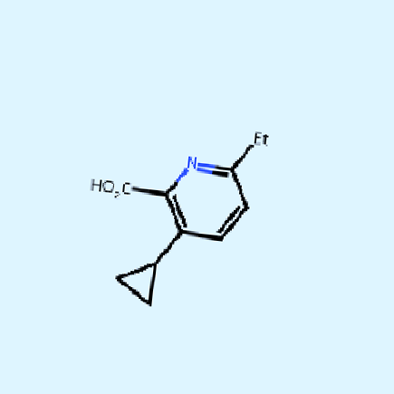 CCc1ccc(C2CC2)c(C(=O)O)n1